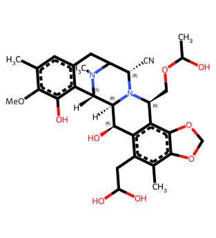 COc1c(C)cc2c(c1O)[C@H]1[C@@H]3[C@H](O)c4c(CC(O)O)c(C)c5c(c4[C@H](COC(C)O)N3[C@@H](C#N)C(C2)N1C)OCO5